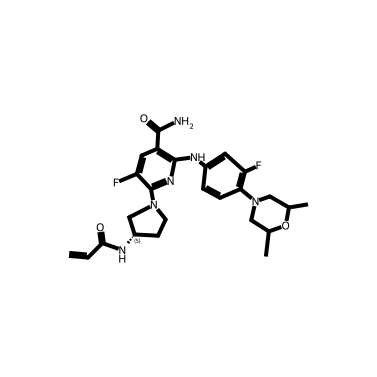 C=CC(=O)N[C@H]1CCN(c2nc(Nc3ccc(N4CC(C)OC(C)C4)c(F)c3)c(C(N)=O)cc2F)C1